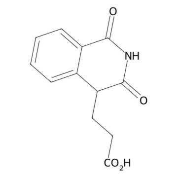 O=C(O)CCC1C(=O)NC(=O)c2ccccc21